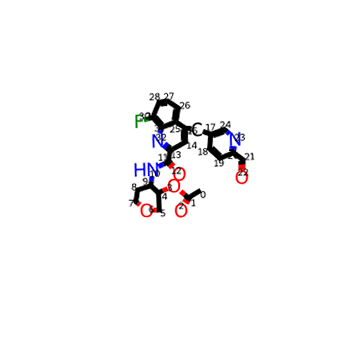 CC(=O)OC1COCCC1NC(=O)c1cc(Cc2ccc(C=O)nc2)c2cccc(F)c2n1